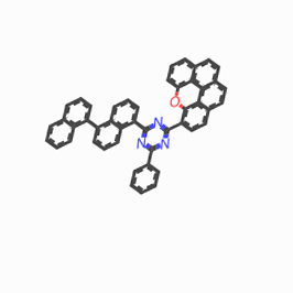 c1ccc(-c2nc(-c3ccc4ccc5ccc6cccc7c6c5c4c3O7)nc(-c3cccc4c(-c5cccc6ccccc56)cccc34)n2)cc1